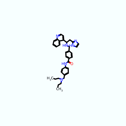 CCCN(CCC)Cc1ccc(NC(=O)c2ccc(CNC(Cc3ncc[nH]3)c3ccnc4ccccc34)cc2)cc1